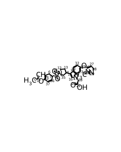 CC(C)OC1=CCC(S(=O)(=O)N2CCC(c3cn(CC(=O)O)c4cc(Oc5ccnn5C)ccc34)C2)C=C1